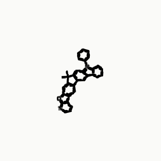 CC1(C)c2cc3oc4ncccc4c3cc2-c2cc3c4ccccc4n(-c4ccccc4)c3cc21